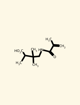 C=C(C)C(=O)NCC(C)(C)C(C)C(=O)O